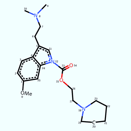 COc1ccc2c(CCN(C)C)cn(C(=O)OCCN3CCCCC3)c2c1